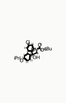 CC(C)Oc1ccc(C(O)(CNC(=O)OC(C)(C)C)c2ccc(Cl)cc2)cc1